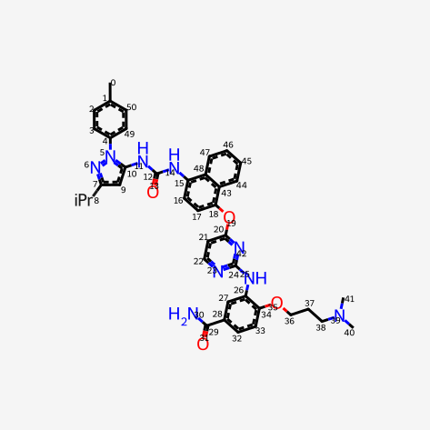 Cc1ccc(-n2nc(C(C)C)cc2NC(=O)Nc2ccc(Oc3ccnc(Nc4cc(C(N)=O)ccc4OCCCN(C)C)n3)c3ccccc23)cc1